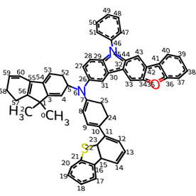 CC1(C)C2=CC(N(C3=CC=C(C4=CC=CC5c6ccccc6SC45)CC3)c3ccc4c(c3)c3cc5oc6ccccc6c5cc3n4-c3ccccc3)CC=C2C2=C1CCC=C2